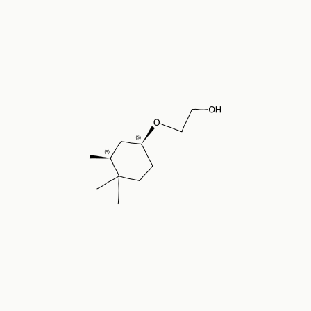 C[C@H]1C[C@@H](OCCO)CCC1(C)C